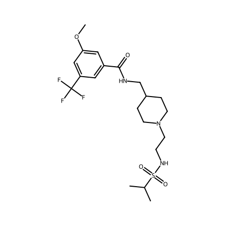 COc1cc(C(=O)NCC2CCN(CCNS(=O)(=O)C(C)C)CC2)cc(C(F)(F)F)c1